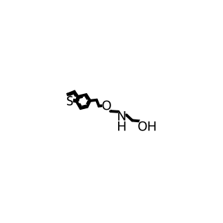 OCCCNCCOCCc1ccc2sccc2c1